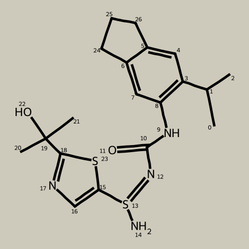 CC(C)c1cc2c(cc1NC(=O)/N=S(/N)c1cnc(C(C)(C)O)s1)CCC2